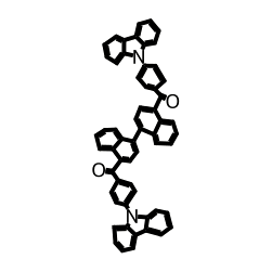 O=C(c1ccc(-n2c3ccccc3c3ccccc32)cc1)c1ccc(-c2ccc(C(=O)c3ccc(-n4c5ccccc5c5ccccc54)cc3)c3ccccc23)c2ccccc12